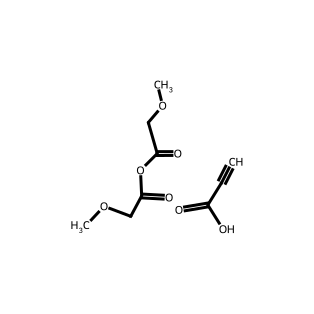 C#CC(=O)O.COCC(=O)OC(=O)COC